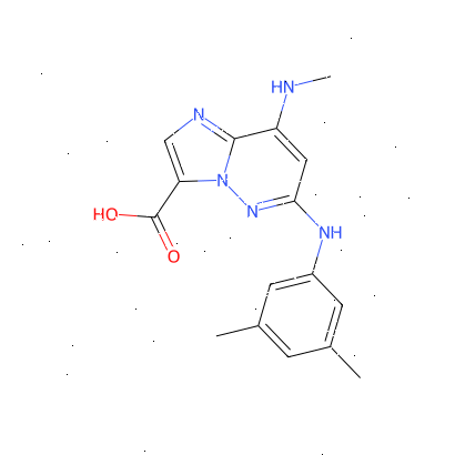 CNc1cc(Nc2cc(C)cc(C)c2)nn2c(C(=O)O)cnc12